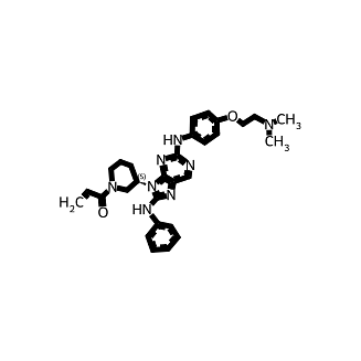 C=CC(=O)N1CCC[C@H](n2c(Nc3ccccc3)nc3cnc(Nc4ccc(OCCN(C)C)cc4)nc32)C1